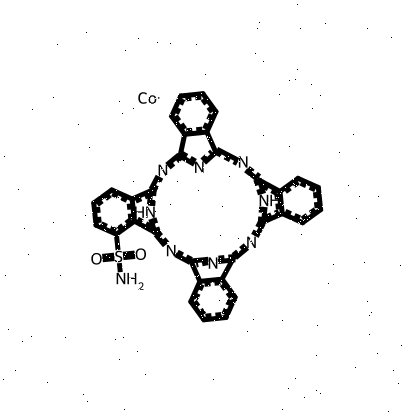 NS(=O)(=O)c1cccc2c3nc4nc(nc5[nH]c(nc6nc(nc([nH]3)c12)-c1ccccc1-6)c1ccccc51)-c1ccccc1-4.[Co]